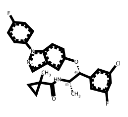 C[C@H](NC(=O)C1(C)CC1)[C@H](Oc1ccc2c(cnn2-c2ccc(F)cc2)c1)c1cc(F)cc(Cl)c1